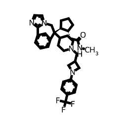 CNC(=O)C[C@H]1CCC[C@@H]1C1(C2CCN(CC3CN(c4ccc(C(F)(F)F)cc4)C3)CC2)Cn2ccnc2-c2cccc1c2